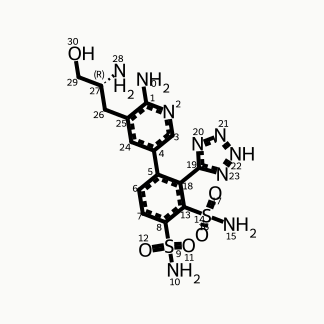 Nc1ncc(-c2ccc(S(N)(=O)=O)c(S(N)(=O)=O)c2-c2nn[nH]n2)cc1C[C@@H](N)CO